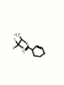 CC(OC(=O)C1C=CCCC1)C(F)(F)F